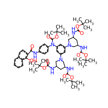 CC(C)(C)OC(=O)NC1CC(NC(=O)OC(C)(C)C)CN(c2cc(N3CC(NC(=O)OC(C)(C)C)CC(NC(=O)OC(C)(C)C)C3)cc(N(C(=O)OC(C)(C)C)c3ccc(NC(=O)c4ccc5ccccc5c4O)cc3)c2)C1